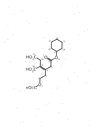 CCCCCCCCOCCC(CC(=O)OC1CCCCC1)=C(CC(=O)O)C(=O)O